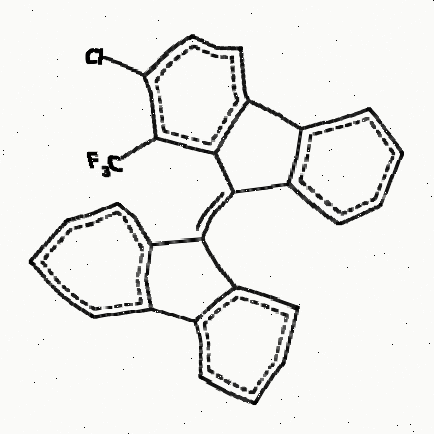 FC(F)(F)c1c(Cl)ccc2c1C(=C1c3ccccc3-c3ccccc31)c1ccccc1-2